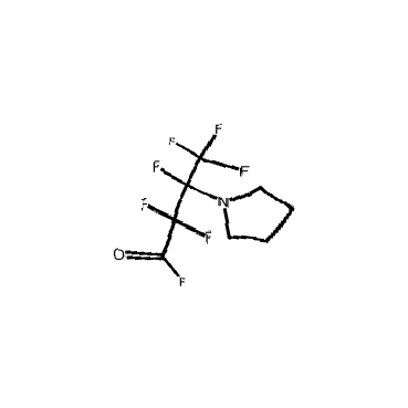 O=C(F)C(F)(F)C(F)(N1CCCC1)C(F)(F)F